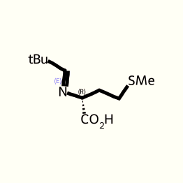 CSCC[C@@H](/N=C/C(C)(C)C)C(=O)O